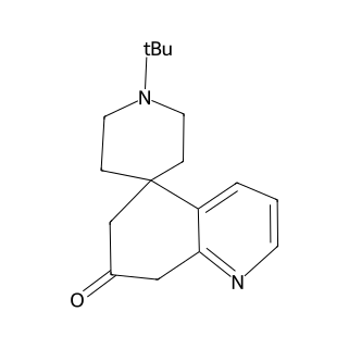 CC(C)(C)N1CCC2(CC1)CC(=O)Cc1ncccc12